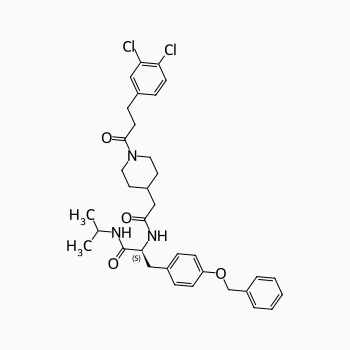 CC(C)NC(=O)[C@H](Cc1ccc(OCc2ccccc2)cc1)NC(=O)CC1CCN(C(=O)CCc2ccc(Cl)c(Cl)c2)CC1